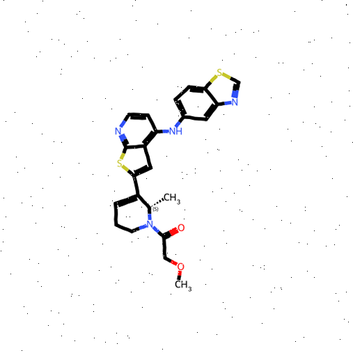 COCC(=O)N1CCC=C(c2cc3c(Nc4ccc5scnc5c4)ccnc3s2)[C@@H]1C